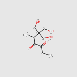 CCC(=O)C(=O)C(C)C(CO)(CO)CO